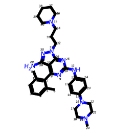 Cc1cccc(C)c1-c1nc(Nc2ccc(N3CCN(C)CC3)cc2)nc2c1c(N)nn2CCCN1CCCCC1